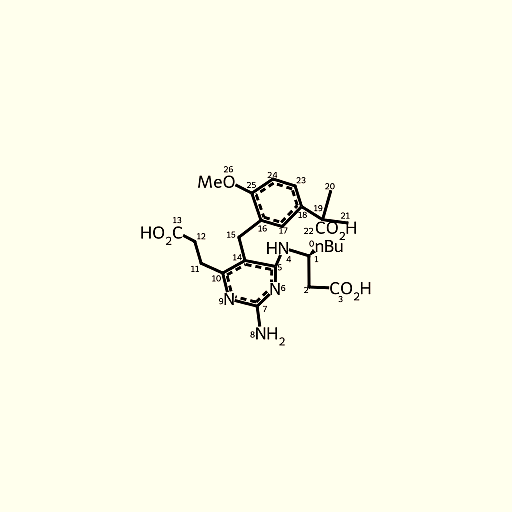 CCCC[C@@H](CC(=O)O)Nc1nc(N)nc(CCC(=O)O)c1Cc1cc(C(C)(C)C(=O)O)ccc1OC